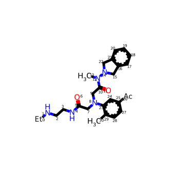 CCNCCNC(=O)CN(CC(=O)N(C)N1Cc2ccccc2C1)c1cc(C(C)=O)ccc1C